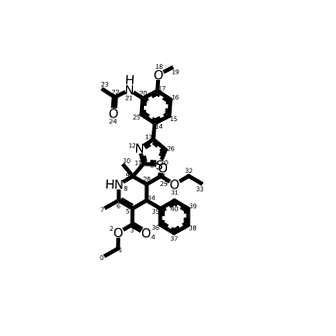 CCOC(=O)C1=C(C)NC(C)(c2nc(-c3ccc(OC)c(NC(C)=O)c3)cs2)C(C(=O)OCC)C1c1ccccc1